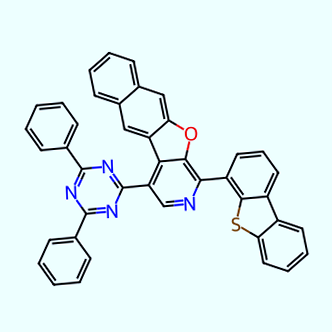 c1ccc(-c2nc(-c3ccccc3)nc(-c3cnc(-c4cccc5c4sc4ccccc45)c4oc5cc6ccccc6cc5c34)n2)cc1